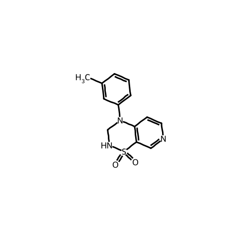 Cc1cccc(N2CNS(=O)(=O)c3cnccc32)c1